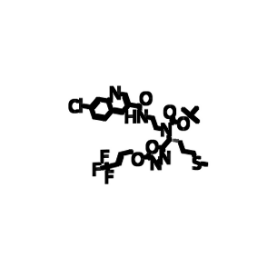 CSCCC[C@H](c1nnc(OC/C=C/C(F)(F)F)o1)N(CCNC(=O)c1cnc2cc(Cl)ccc2c1)C(=O)OC(C)(C)C